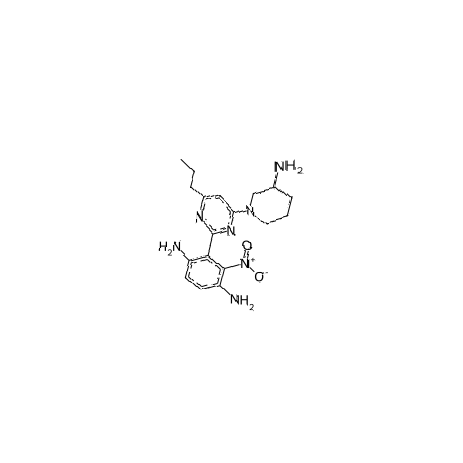 CCCc1cc(N2CCCC(N)C2)nc(-c2c(N)ccc(N)c2[N+](=O)[O-])n1